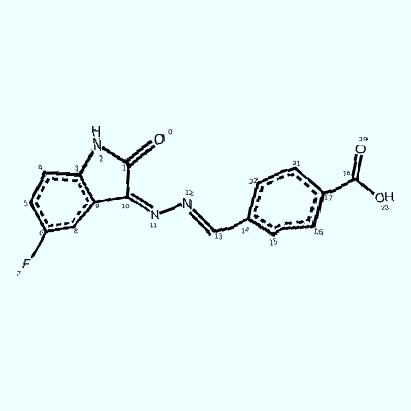 O=C1Nc2ccc(F)cc2/C1=N/N=C/c1ccc(C(=O)O)cc1